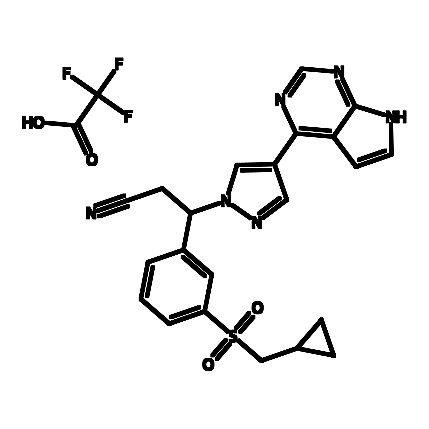 N#CCC(c1cccc(S(=O)(=O)CC2CC2)c1)n1cc(-c2ncnc3[nH]ccc23)cn1.O=C(O)C(F)(F)F